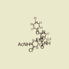 CCn1c(C(C)NS(=O)(=O)c2ccc(NC(C)=O)c(Cl)c2)cnc1Oc1ccc(C)cc1